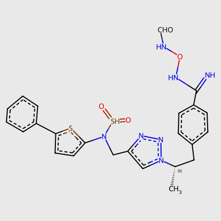 C[C@@H](Cc1ccc(C(=N)NONC=O)cc1)n1cc(CN(c2ccc(-c3ccccc3)s2)[SH](=O)=O)nn1